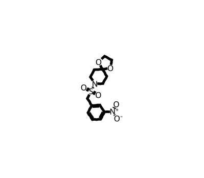 O=[N+]([O-])c1cccc(CS(=O)(=O)N2CCC3(CC2)OCCO3)c1